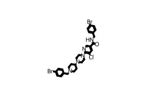 O=C(NCc1ccc(Br)cc1)c1cnc(N2CCN(C3CCN(Cc4ccc(Br)cc4)CC3)CC2)c(Cl)c1